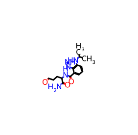 CC(C)Nc1cccc(C(=O)NC(CCC=O)C(N)=O)c1N=N